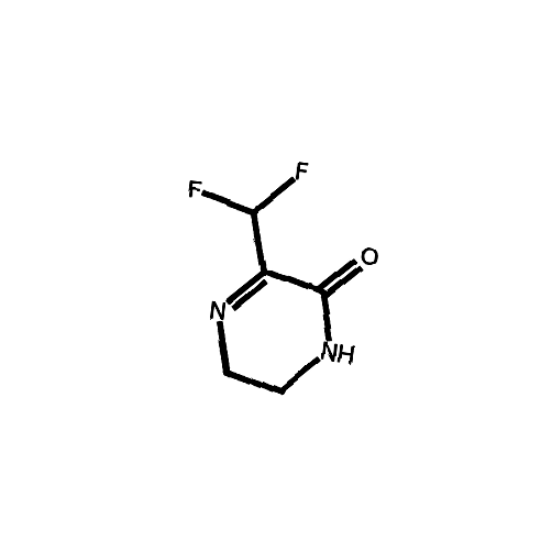 O=C1NCCN=C1C(F)F